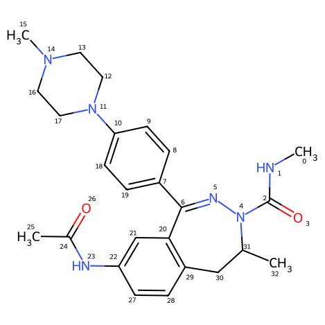 CNC(=O)N1N=C(c2ccc(N3CCN(C)CC3)cc2)c2cc(NC(C)=O)ccc2CC1C